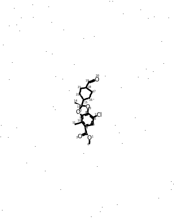 COC(=O)c1cc(Cl)c2c(c1C)O[C@](C)(C1CCC(C=O)CC1)O2